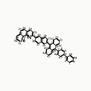 c1ccc(-c2ccc(-c3c4ccccc4c(-c4ccc5cc(-c6ccc7ccc8cccnc8c7n6)ccc5c4)c4ccccc34)cc2)cc1